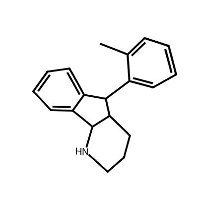 Cc1ccccc1C1c2ccccc2C2NCCCC21